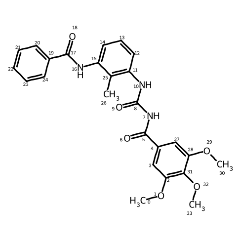 COc1cc(C(=O)NC(=O)Nc2cccc(NC(=O)c3ccccc3)c2C)cc(OC)c1OC